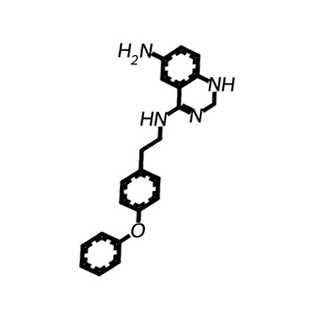 Nc1ccc2c(c1)C(NCCc1ccc(Oc3ccccc3)cc1)=NCN2